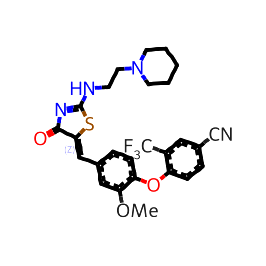 COc1cc(/C=C2\SC(NCCN3CCCCC3)=NC2=O)ccc1Oc1ccc(C#N)cc1C(F)(F)F